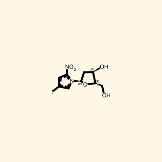 O=[N+]([O-])c1cc(I)cn1[C@H]1C[C@@H](O)[C@@H](CO)O1